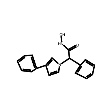 O=C(NO)C(c1ccccc1)n1ccc(-c2ccccc2)c1